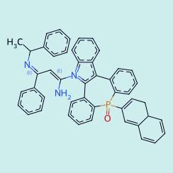 CC(/N=C(\C=C(/N)n1c2c(c3ccccc31)-c1ccccc1P(=O)(C1=CCC3C=CC=CC3=C1)c1ccccc1-2)c1ccccc1)c1ccccc1